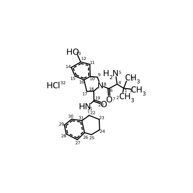 CC(C)(C)C(N)C(=O)N1Cc2cc(O)ccc2CC1C(=O)N[C@@H]1CCCc2ccccc21.Cl